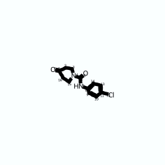 O=C1CCN(C(=O)Nc2ccc(Cl)cc2)CC1